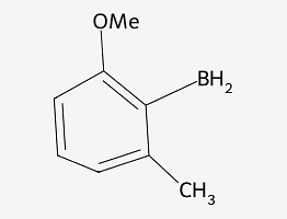 Bc1c(C)cccc1OC